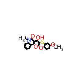 COc1cccc(Sc2c(O)c3c(=O)n(C)c4ccccc4c3oc2=O)c1